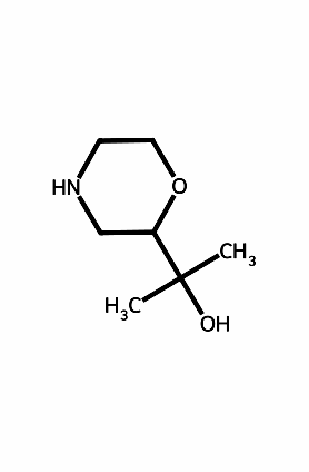 CC(C)(O)C1CNCCO1